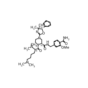 COc1cc(CNC(=O)[C@@H]2CN(C3=NC(C)(C)[C@H](c4ccccc4)O3)CCN2C(=O)[C@@H](CCCCN(C)C)N(C)C)ccc1C(N)=O